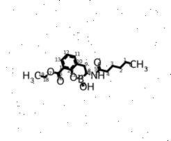 CCCCCC(=O)N[C@H]1Cc2cccc(C(=O)OCC)c2OB1O